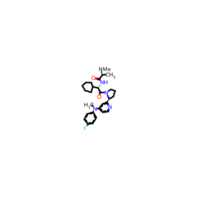 CN[C@@H](C)C(=O)N[C@H](C(=O)N1CCC[C@H]1c1cc(N(C)c2ccc(F)cc2)ccn1)C1CCCCC1